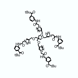 CC(C)(C)C(=O)c1cccc(NC(=O)Cn2cc(COCC(COCc3cn(CC(=O)Nc4cccc(C(=O)C(C)(C)C)c4)nn3)(COCc3cn(CC(=O)Nc4cccc(C(=O)C(C)(C)C)c4)nn3)COCc3cn(CC(=O)Nc4cccc(C(=O)C(C)(C)C)c4)nn3)nn2)c1